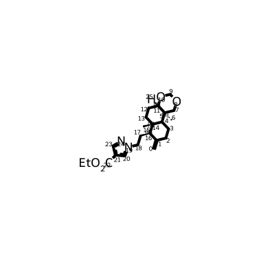 C=C1CCC2[C@]3(C)COCO[C@@H]3CC[C@@]2(C)[C@@H]1CCn1cc(C(=O)OCC)cn1